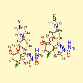 CNC(=O)N1N=C(c2ccc(N3CC(F)C3)cc2)c2c(c(F)cc(OC)c2OC)CC1C.CNC(=O)N1N=C(c2ccc(N3CCN(C)CC3)cc2)c2c(c(F)cc(OC)c2OC)CC1C